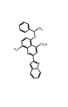 Cc1ccc(O[C@H](C)c2ccccc2)c2c(C(=O)O)cc(-c3cc4ccccn4n3)nc12